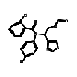 O=COCC(c1cscn1)N(C(=O)c1ccccc1Cl)c1ccc(Cl)cc1